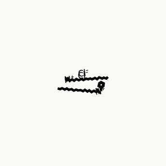 CCCCCCCCCCCCCCCCCC[N+](C)(C)C.CCCCCCCCCCCCCCCCCC[N+](C)(C)Cc1ccccc1.[Cl-].[Cl-]